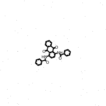 O=C(Nc1ccc(NC(=O)c2ccccc2)c2c1C(=O)c1ccccc1C2=O)c1ccccc1